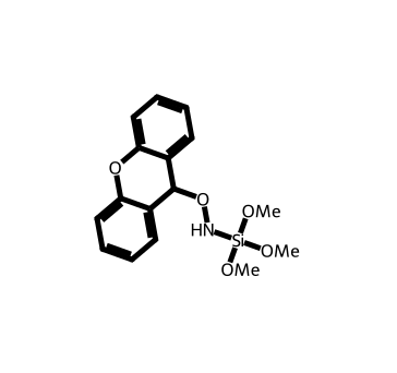 CO[Si](NOC1c2ccccc2Oc2ccccc21)(OC)OC